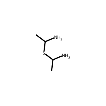 CC(N)SC(C)N